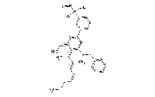 C/C=c1/nc(-c2cncc(C(C)(C)N=O)c2)nc(NCc2ccccn2)/c1=C(C)\C(C)=C\C=C/CCC